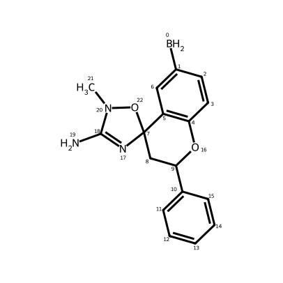 Bc1ccc2c(c1)C1(CC(c3ccccc3)O2)N=C(N)N(C)O1